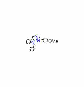 COc1ccc(-c2cn3ccc4c5ccccc5n(Cc5ccccc5)c4c3n2)cc1